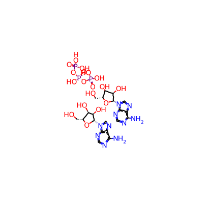 Nc1ncnc2c1ncn2[C@@H]1O[C@H](CO)[C@@H](O)[C@H]1O.Nc1ncnc2c1ncn2[C@@H]1O[C@H](CO)[C@@H](O)[C@H]1O.O=P(O)(O)OP(=O)(O)OP(=O)(O)O